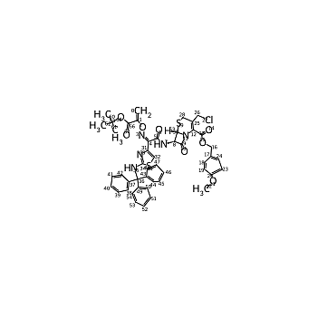 C=C(O/N=C(\C(=O)N[C@@H]1C(=O)N2C(C(=O)OCc3ccc(OC)cc3)=C(CCl)CS[C@@H]12)c1csc(NC(c2ccccc2)(c2ccccc2)c2ccccc2)n1)C(=O)OC(C)(C)C